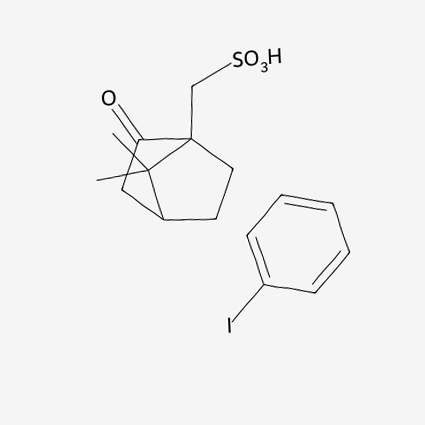 CC1(C)C2CCC1(CS(=O)(=O)O)C(=O)C2.Ic1ccccc1